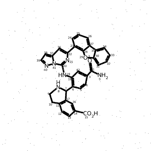 NC(=O)c1ccc(C2NCCc3ccc(C(=O)O)cc32)c(Nc2nc(-c3cccc4c3oc3ccccc34)cc3ccnn23)c1